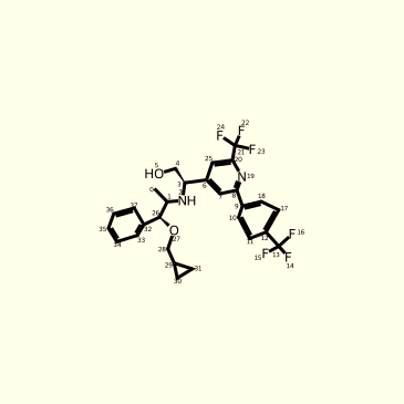 CC(N[C@@H](CO)c1cc(-c2ccc(C(F)(F)F)cc2)nc(C(F)(F)F)c1)[C@@H](OCC1CC1)c1ccccc1